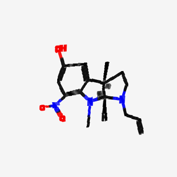 C=CCN1CC[C@@]2(C)c3cc(O)cc([N+](=O)[O-])c3N(C)[C@@H]12